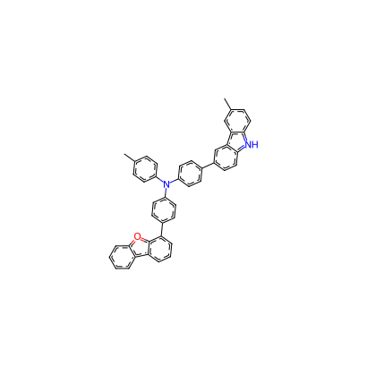 Cc1ccc(N(c2ccc(-c3ccc4[nH]c5ccc(C)cc5c4c3)cc2)c2ccc(-c3cccc4c3oc3ccccc34)cc2)cc1